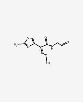 CO/N=C(\C(=O)NC[C]=O)c1csc(N)n1